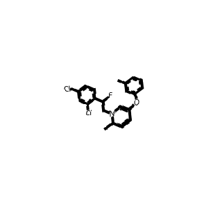 Cc1cccc(OC2=CN(CC(F)c3ccc(Cl)cc3Cl)C(C)C=C2)c1